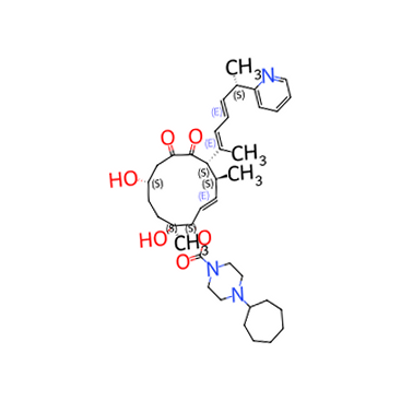 C/C(=C\C=C\[C@H](C)c1ccccn1)[C@H]1C(=O)C(=O)C[C@@H](O)CC[C@](C)(O)[C@@H](OC(=O)N2CCN(C3CCCCCC3)CC2)/C=C/[C@@H]1C